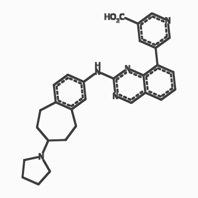 O=C(O)c1cncc(-c2cccc3cnc(Nc4ccc5c(c4)CCC(N4CCCC4)CC5)nc23)c1